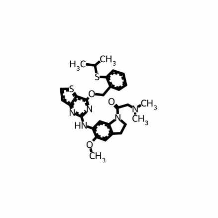 COc1cc2c(cc1Nc1nc(OCc3ccccc3SC(C)C)c3sccc3n1)N(C(=O)CN(C)C)CC2